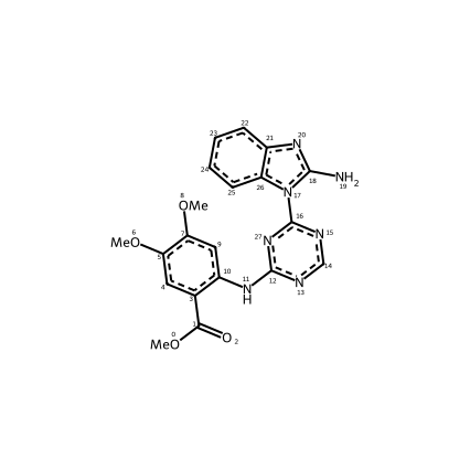 COC(=O)c1cc(OC)c(OC)cc1Nc1ncnc(-n2c(N)nc3ccccc32)n1